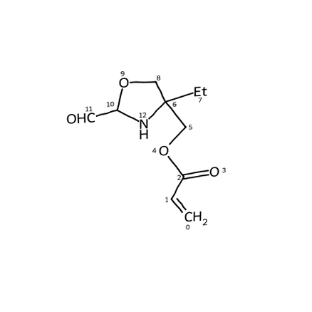 C=CC(=O)OCC1(CC)COC(C=O)N1